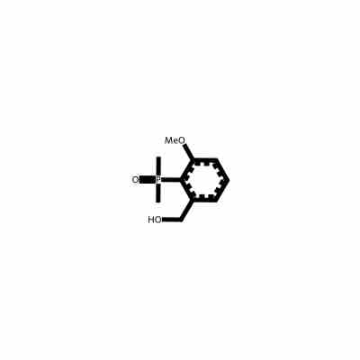 COc1cccc(CO)c1P(C)(C)=O